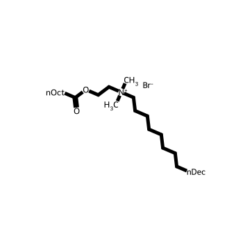 CCCCCCCCCCCCCCCCCC[N+](C)(C)CCOC(=O)CCCCCCCC.[Br-]